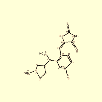 CCCCN1CCC(N(C(=O)O)c2cc(Cl)ccc2C=C2SC(=O)NC2=O)C1